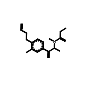 C=CCCc1ccc(C(=C)C(C)N(C)C(=C)CC)cc1C